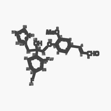 COc1cc(/C=C/C=O)ccc1OCC(O)(Cn1cncn1)c1ccc(F)cc1F